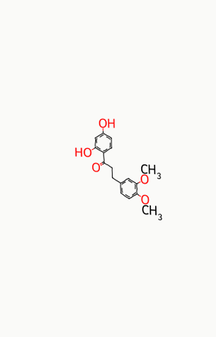 COc1ccc(CCC(=O)c2ccc(O)cc2O)cc1OC